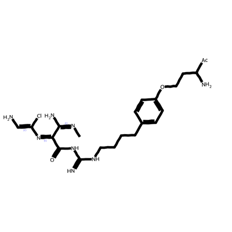 C\N=C(N)/C(=N\C(Cl)=C\N)C(=O)NC(=N)NCCCCc1ccc(OCCC(N)C(C)=O)cc1